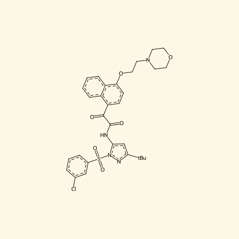 CC(C)(C)c1cc(NC(=O)C(=O)c2ccc(OCCN3CCOCC3)c3ccccc23)n(S(=O)(=O)c2cccc(Cl)c2)n1